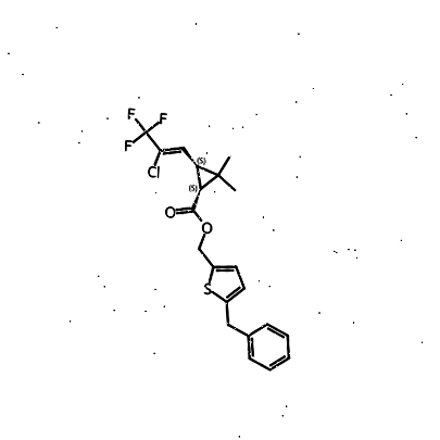 CC1(C)[C@H](C=C(Cl)C(F)(F)F)[C@@H]1C(=O)OCc1ccc(Cc2ccccc2)s1